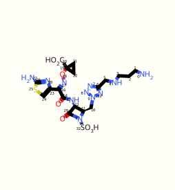 NCCCNCc1nnn(C[C@@H]2[C@H](NC(=O)C(=NOC3(C(=O)O)CC3)c3csc(N)n3)C(=O)N2S(=O)(=O)O)n1